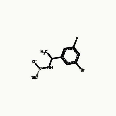 CC(N[S@@+]([O-])C(C)(C)C)c1cc(F)cc(Br)c1